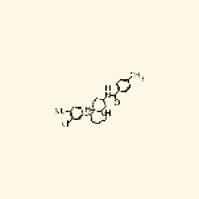 Cc1ccc(C(=O)N[C@@H]2CC[C@@H]3[C@H](C2)OCCN3c2ccc(C#N)c(Cl)c2)cc1